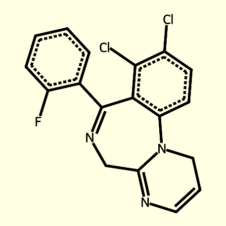 Fc1ccccc1C1=NCC2=NC=CCN2c2ccc(Cl)c(Cl)c21